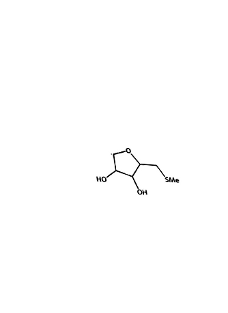 CSCC1O[CH]C(O)C1O